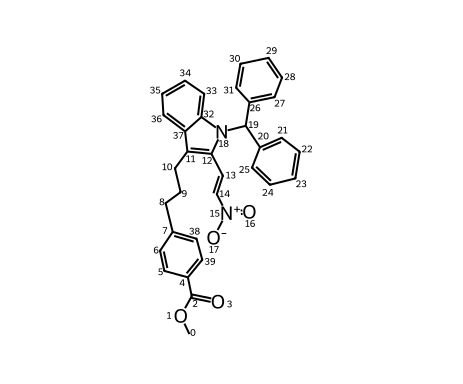 COC(=O)c1ccc(CCCc2c(C=C[N+](=O)[O-])n(C(c3ccccc3)c3ccccc3)c3ccccc23)cc1